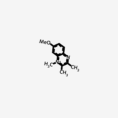 COc1ccc2nc(C)c(C)[n+](C)c2c1